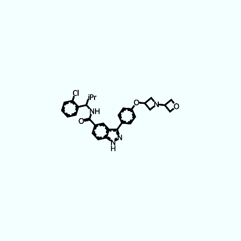 CC(C)C(NC(=O)c1ccc2[nH]nc(-c3ccc(OC4CN(C5COC5)C4)cc3)c2c1)c1ccccc1Cl